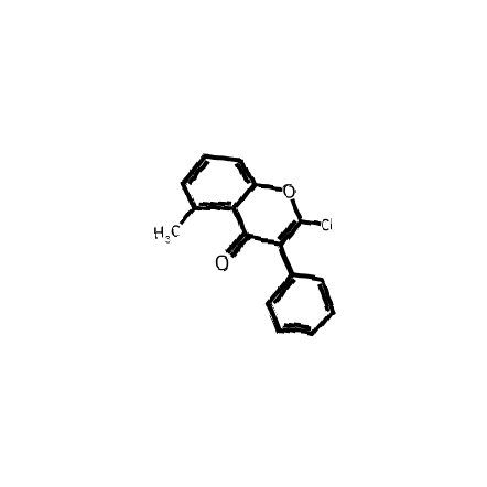 Cc1cccc2oc(Cl)c(-c3ccccc3)c(=O)c12